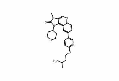 CC(N)CCOc1ccc(-c2ccc3ncc4c(c3c2)n(C2CCOCC2)c(=O)n4C)cn1